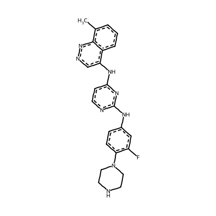 Cc1cccc2c(Nc3ccnc(Nc4ccc(N5CCNCC5)c(F)c4)n3)cnnc12